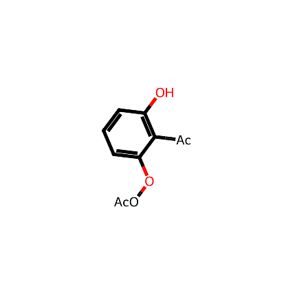 CC(=O)OOc1cccc(O)c1C(C)=O